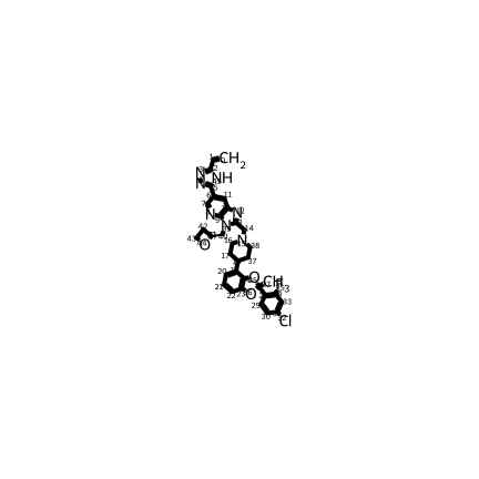 C=Cc1nnc(-c2cnc3c(c2)nc(CN2CCC(c4cccc5c4OC(C)(c4ccc(Cl)cc4F)O5)CC2)n3C[C@@H]2CCO2)[nH]1